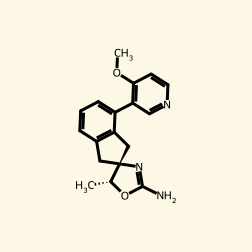 COc1ccncc1-c1cccc2c1C[C@@]1(C2)N=C(N)O[C@@H]1C